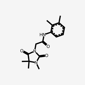 Cc1cccc(NC(=O)CN2C(=O)N(C)C(C)(C)C2=O)c1C